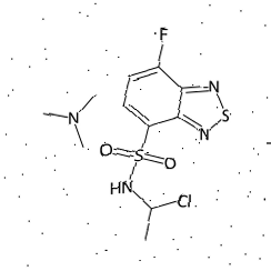 CC(Cl)NS(=O)(=O)c1ccc(F)c2nsnc12.CN(C)C